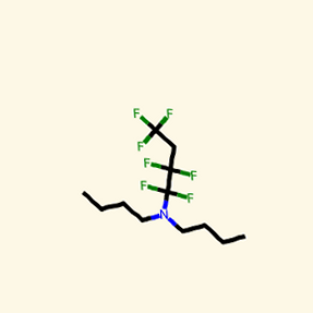 CCCCN(CCCC)C(F)(F)C(F)(F)CC(F)(F)F